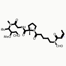 C/C=C\C(=O)N(C=O)CCCCC(=O)N1CCC[C@@]1(C)C(=O)NCC(=O)N(C)C(C(C)CC)C(CC=O)OC